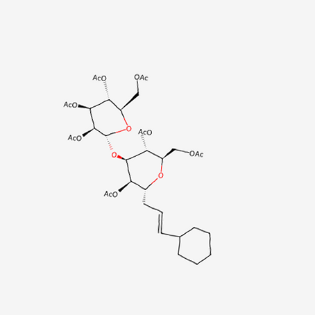 CC(=O)OC[C@H]1O[C@H](CC=CC2CCCCC2)[C@@H](OC(C)=O)[C@@H](O[C@H]2O[C@H](COC(C)=O)[C@@H](OC(C)=O)[C@H](OC(C)=O)[C@@H]2OC(C)=O)[C@@H]1OC(C)=O